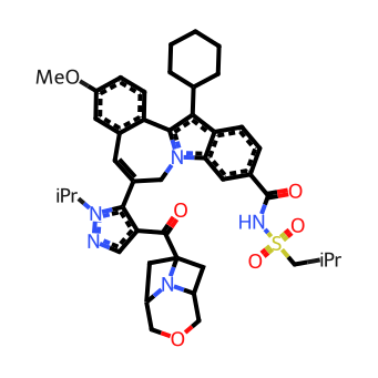 COc1ccc2c(c1)C=C(c1c(C(=O)C34CC5COCC(C3)N54)cnn1C(C)C)Cn1c-2c(C2CCCCC2)c2ccc(C(=O)NS(=O)(=O)CC(C)C)cc21